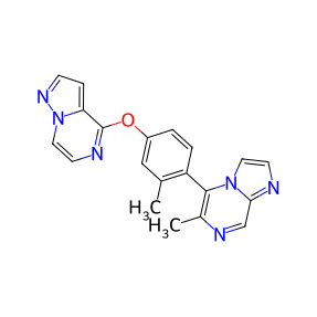 Cc1cc(Oc2nccn3nccc23)ccc1-c1c(C)ncc2nccn12